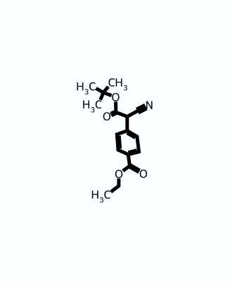 CCOC(=O)c1ccc(C(C#N)C(=O)OC(C)(C)C)cc1